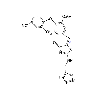 COc1cc(/C=C2/SC(NCc3nnn[nH]3)=NC2=O)ccc1Oc1ccc(C#N)cc1C(F)(F)F